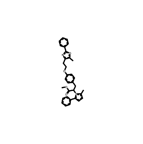 COC(=O)C(Cc1ccc(OCCc2nc(-c3ccccc3)oc2C)cc1)n1c(C)ccc1-c1ccccc1